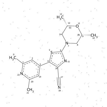 Cc1cc(-c2sc(N3C[C@@H](C)O[C@@H](C)C3)nc2C#N)cc(C)n1